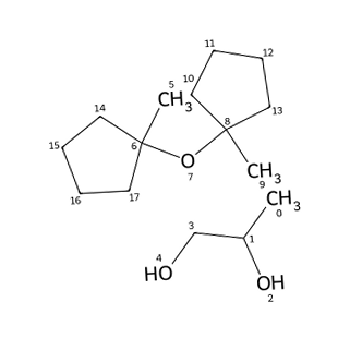 CC(O)CO.CC1(OC2(C)CCCC2)CCCC1